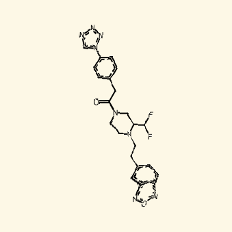 O=C(Cc1ccc(-n2cnnn2)cc1)N1CCN(CCc2ccc3nonc3c2)C(C(F)F)C1